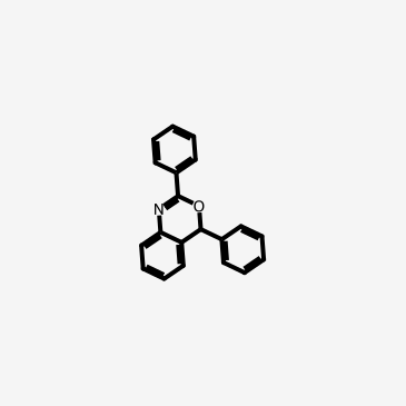 c1ccc(C2=Nc3ccccc3C(c3ccccc3)O2)cc1